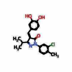 Cc1ccc(N2N=C(C(C)C)C(=Cc3ccc(O)c(O)c3)C2=O)cc1Cl